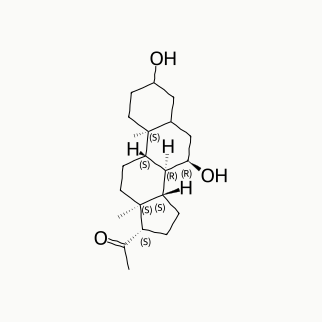 CC(=O)[C@H]1CC[C@H]2[C@@H]3[C@H](O)CC4CC(O)CC[C@]4(C)[C@H]3CC[C@]12C